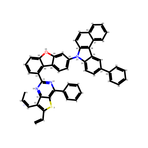 C=Cc1sc2c(-c3ccccc3)nc(-c3cccc4oc5cc(-n6c7ccc(-c8ccccc8)cc7c7c8ccccc8ccc76)ccc5c34)nc2c1/C=C\C